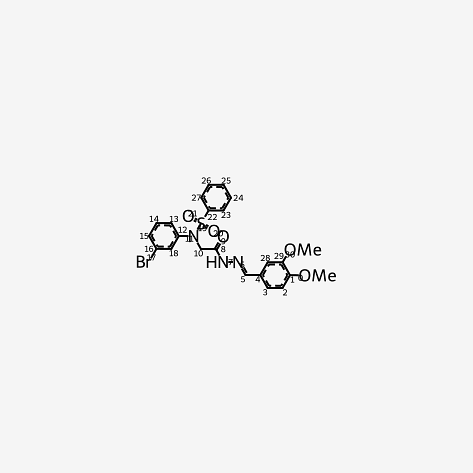 COc1ccc(C=NNC(=O)CN(c2cccc(Br)c2)S(=O)(=O)c2ccccc2)cc1OC